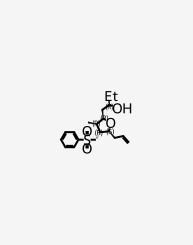 C=CC[C@@H]1O[C@H](C[C@H](O)CC)[C@H](C)[C@H]1CS(=O)(=O)c1ccccc1